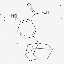 O=C(O)c1cc(C23CC4CC(CC(C4)C2)C3)ccc1O